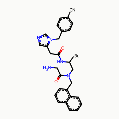 CCC(C)C(CN(Cc1cccc2ccccc12)C(=O)CN)NC(=O)Cc1cncn1Cc1ccc(C#N)cc1